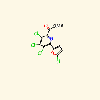 COC(=O)c1nc(-c2ccc(Cl)o2)c(Cl)c(Cl)c1Cl